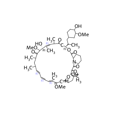 COC1CC(CC(C)[C@@H]2CC(=O)C(C)/C=C(\C)[C@@H](O)C(OC)C(=O)C(C)CC(C)/C=C/C=C/C=C(\C)[C@@H](OC)C[C@@H]3CCC(C)C(O)(O3)C(=O)C(=O)N3CCCCC3C(=O)O2)CCC1O